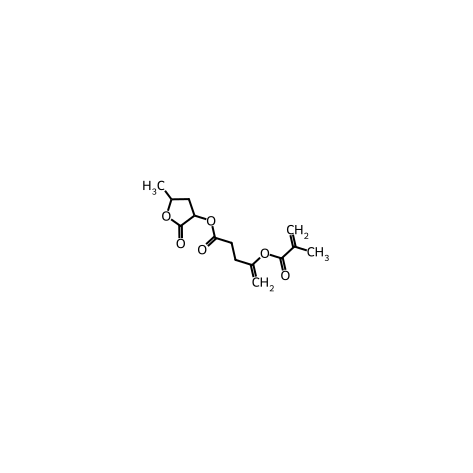 C=C(CCC(=O)OC1CC(C)OC1=O)OC(=O)C(=C)C